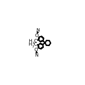 Cc1cc(C2(c3ccc(OC#N)c(C)c3)CCCCC2)ccc1OC#N